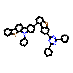 c1ccc(-c2nc(-c3ccccc3)nc(-c3ccc4c(c3)sc3cccc(-c5ccc6c(c5)c5ccc7c8ccccc8sc7c5n6-c5ccccc5)c34)n2)cc1